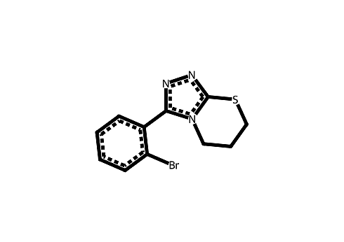 Brc1ccccc1-c1nnc2n1CCCS2